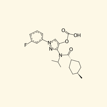 CC(C)N(c1nn(-c2cccc(F)c2)cc1OC(=O)O)C(=O)[C@H]1CC[C@H](C)CC1